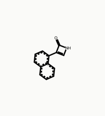 O=C1NC=C1c1cccc2ccccc12